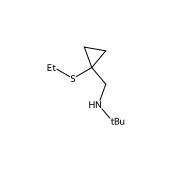 CCSC1(CNC(C)(C)C)CC1